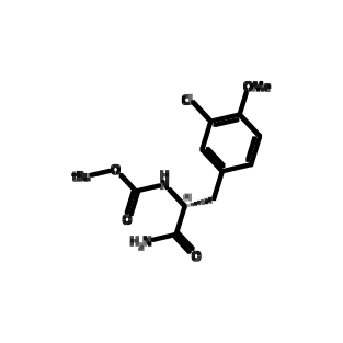 COc1ccc(C[C@@H](NC(=O)OC(C)(C)C)C(N)=O)cc1Cl